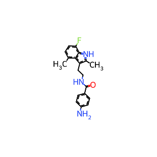 Cc1[nH]c2c(F)ccc(C)c2c1CCNC(=O)c1ccc(N)cc1